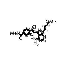 CNC(=O)c1ccc2c(Cl)c(-c3nn(CCCOC)c4ncnc(N)c34)[nH]c2c1